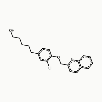 OCCCCCc1ccc(OCc2ccc3ccccc3n2)c(Cl)c1